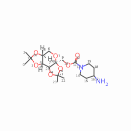 CC1(C)O[C@@H]2[C@@H](CO[C@@]3(COC(=O)N4CCC(N)CC4)OC(C)(C)O[C@@H]23)O1